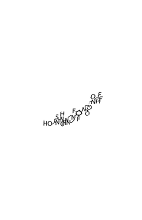 O=C(NC[C@H]1CN(c2cc(F)c(N3CCNN(C(=O)Nc4nc(CO)cs4)CC3)c(F)c2)C(=O)O1)C(F)F